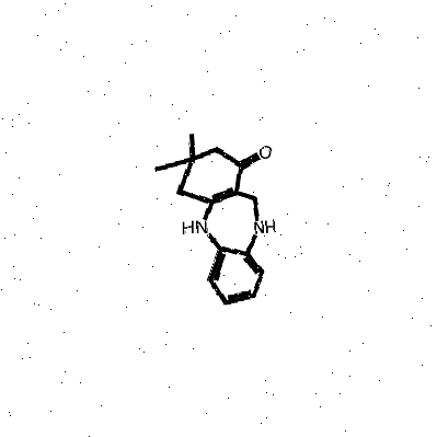 CC1(C)CC(=O)C2=C(C1)Nc1ccccc1NC2